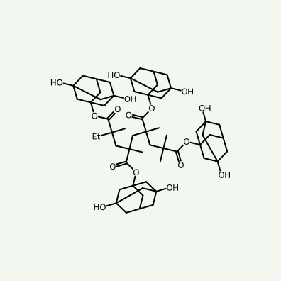 CCC(C)(CC(C)(CC(C)(CC(C)(C)C(=O)OC12CC3CC(O)(CC(O)(C3)C1)C2)C(=O)OC12CC3CC(O)(CC(O)(C3)C1)C2)C(=O)OC12CC3CC(O)(CC(O)(C3)C1)C2)C(=O)OC12CC3CC(O)(CC(O)(C3)C1)C2